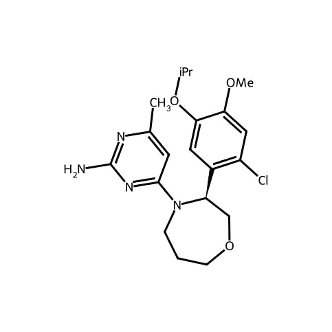 COc1cc(Cl)c([C@H]2COCCCN2c2cc(C)nc(N)n2)cc1OC(C)C